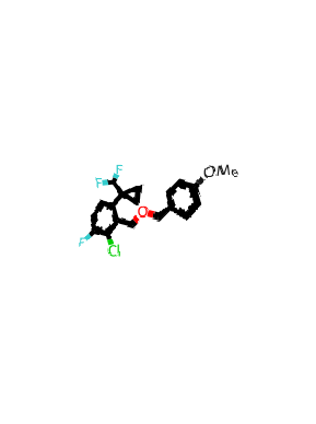 COc1ccc(COCc2c(C3(C(F)F)CC3)ccc(F)c2Cl)cc1